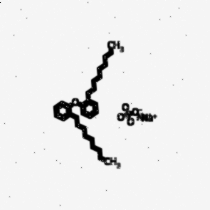 CCCCCCCCCc1ccccc1Oc1ccccc1CCCCCCCCC.O=S(=O)([O-])[O-].[Na+].[Na+]